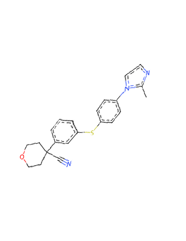 Cc1nccn1-c1ccc(Sc2cccc(C3(C#N)CCOCC3)c2)cc1